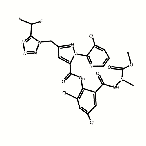 COC(=O)N(C)NC(=O)c1cc(Cl)cc(Cl)c1NC(=O)c1cc(Cn2nnnc2C(F)F)nn1-c1ncccc1Cl